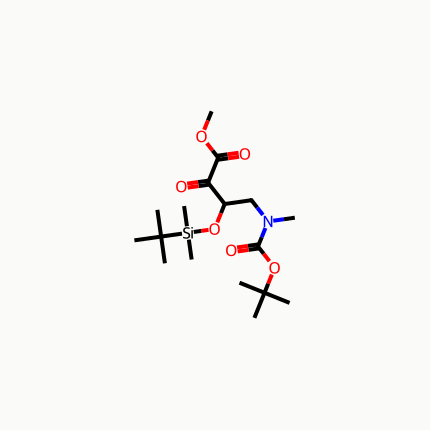 COC(=O)C(=O)C(CN(C)C(=O)OC(C)(C)C)O[Si](C)(C)C(C)(C)C